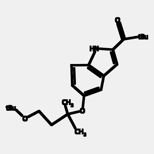 CC(C)(C)OCCC(C)(C)Oc1ccc2[nH]c(C(=O)C(C)(C)C)cc2c1